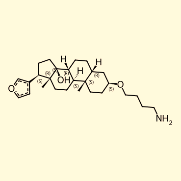 C[C@]12CC[C@H](OCCCCN)C[C@H]1CC[C@@H]1[C@@H]2CC[C@]2(C)[C@@H](c3ccoc3)CC[C@]12O